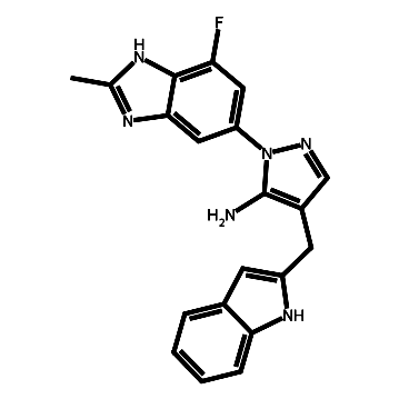 Cc1nc2cc(-n3ncc(Cc4cc5ccccc5[nH]4)c3N)cc(F)c2[nH]1